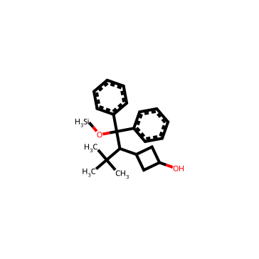 CC(C)(C)C(C1CC(O)C1)C(O[SiH3])(c1ccccc1)c1ccccc1